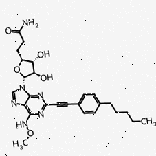 CCCCCc1ccc(C#Cc2nc(NOC)c3ncn([C@@H]4O[C@@H](CCC(N)=O)[C@H](O)[C@H]4O)c3n2)cc1